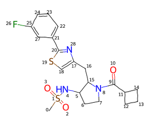 CS(=O)(=O)NC1CCN(C(=O)C2CCC2)C1Cc1csc(-c2cccc(F)c2)n1